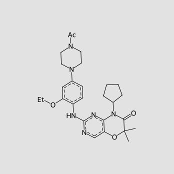 CCOc1cc(N2CCN(C(C)=O)CC2)ccc1Nc1ncc2c(n1)N(C1CCCC1)C(=O)C(C)(C)O2